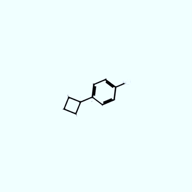 Clc1ccc(C2CCC2)cc1